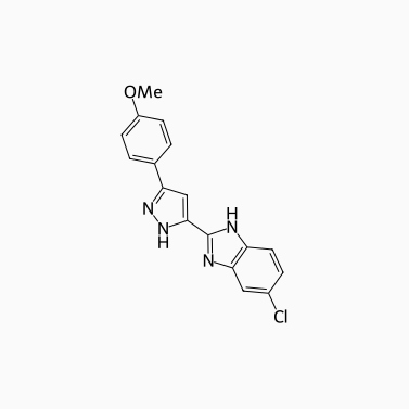 COc1ccc(-c2cc(-c3nc4cc(Cl)ccc4[nH]3)[nH]n2)cc1